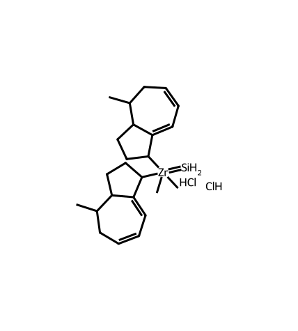 CC1CC=CC=C2C1CC[CH]2[Zr]([CH3])([CH3])(=[SiH2])[CH]1CCC2C1=CC=CCC2C.Cl.Cl